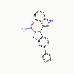 NC(=O)N1Cc2cc(-c3ccsc3)ccc2C1c1c[nH]c2ccccc12